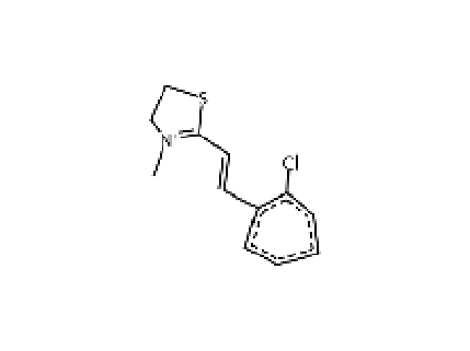 C[N+]1=C(C=Cc2ccccc2Cl)SCC1